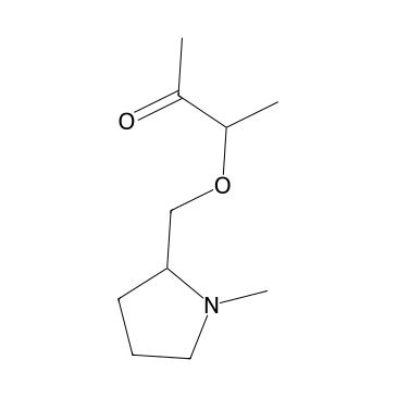 CC(=O)C(C)OCC1CCCN1C